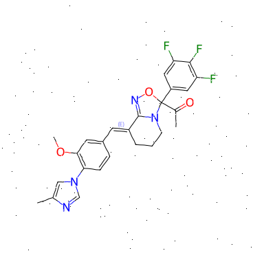 COc1cc(/C=C2\CCCN3C2=NOC3(C(C)=O)c2cc(F)c(F)c(F)c2)ccc1-n1cnc(C)c1